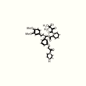 CCC(C)(C)C(=O)C(=O)N1CCCCC1C(=O)O[C@H](CCc1ccc(OC)c(OC)c1)c1cccc(OCC(=O)N2CCNCC2)c1